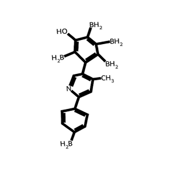 Bc1ccc(-c2cc(C)c(-c3c(B)c(B)c(B)c(O)c3B)cn2)cc1